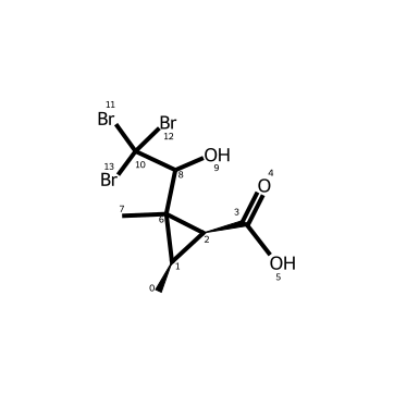 C[C@@H]1[C@H](C(=O)O)C1(C)C(O)C(Br)(Br)Br